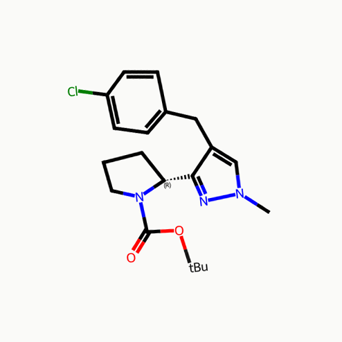 Cn1cc(Cc2ccc(Cl)cc2)c([C@H]2CCCN2C(=O)OC(C)(C)C)n1